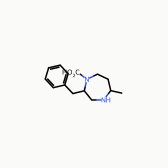 CC1CCN(C(=O)O)C(Cc2ccccc2)CN1